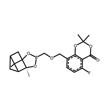 CC1(C)OC(=O)c2c(F)ccc(COCB3OC45CC6CC(C64C)[C@]5(C)O3)c2O1